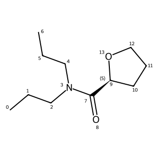 CCCN(CCC)C(=O)[C@@H]1CCCO1